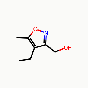 CCc1c(CO)noc1C